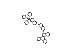 c1ccc([Si](c2ccccc2)(c2ccccc2)c2ccc3cc(-c4ccc5ccc(-c6cc7c8ccccc8c8ccccc8c7c7ccccc67)cc5c4)ccc3c2)cc1